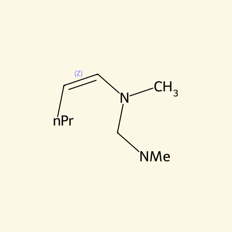 CCC/C=C\N(C)CNC